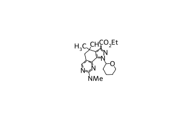 CCOC(=O)c1nn(C2CCCCO2)c2c1C(C)(C)Cc1cnc(NC)nc1-2